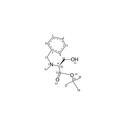 CN(Cc1ccccc1)[C@@H](CO)C(=O)OC(C)(C)C